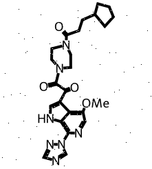 COc1cnc(-n2cncn2)c2[nH]cc(C(=O)C(=O)N3CCN(C(=O)CCC4CCCC4)CC3)c12